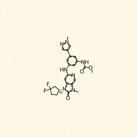 COC(=O)Nc1cc(Nc2cc3c(cn2)n(C)c(=O)n3[C@@H]2CCC(F)(F)C2)cc(-c2cnn(C)c2)c1